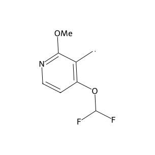 [CH2]c1c(OC(F)F)ccnc1OC